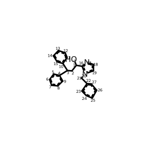 OC(CC(c1ccccc1)c1ccccc1)c1nccn1Cc1ccccc1